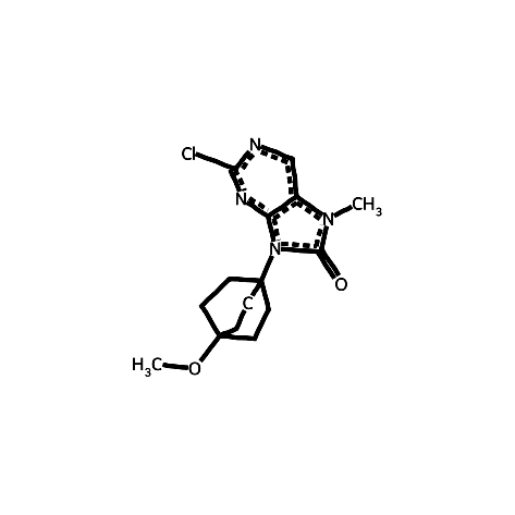 COC12CCC(n3c(=O)n(C)c4cnc(Cl)nc43)(CC1)CC2